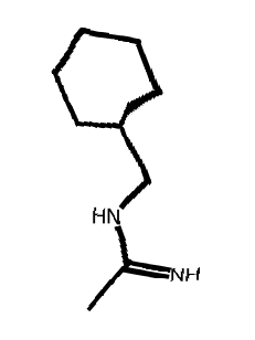 CC(=N)NCC1CCCCC1